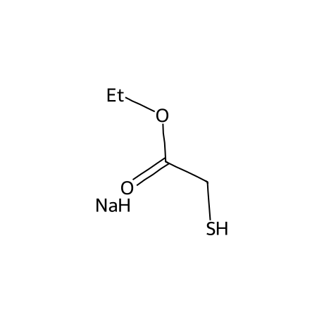 CCOC(=O)CS.[NaH]